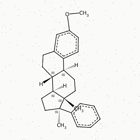 COc1ccc2c(c1)CC[C@@H]1[C@@H]2CC[C@@]2(C)[C@H]1CC[C@]2(C)c1ccccc1